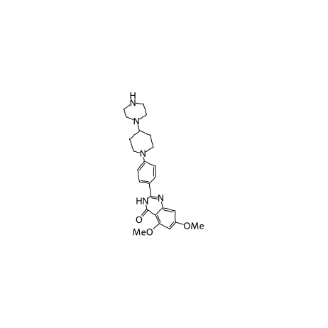 COc1cc(OC)c2c(=O)[nH]c(-c3ccc(N4CCC(N5CCNCC5)CC4)cc3)nc2c1